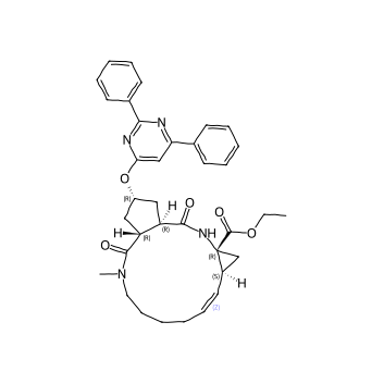 CCOC(=O)[C@@]12C[C@H]1/C=C\CCCCN(C)C(=O)[C@@H]1C[C@H](Oc3cc(-c4ccccc4)nc(-c4ccccc4)n3)C[C@H]1C(=O)N2